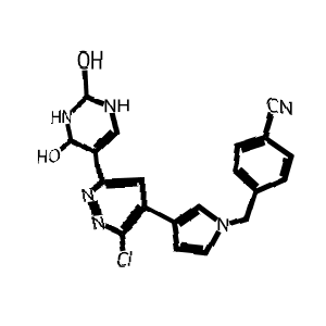 N#Cc1ccc(Cn2ccc(-c3cc(C4=CNC(O)NC4O)nnc3Cl)c2)cc1